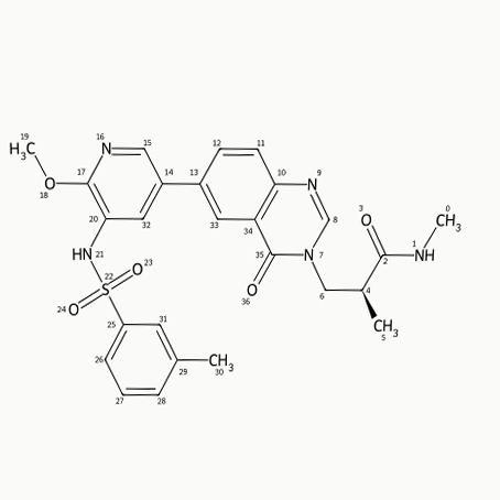 CNC(=O)[C@@H](C)Cn1cnc2ccc(-c3cnc(OC)c(NS(=O)(=O)c4cccc(C)c4)c3)cc2c1=O